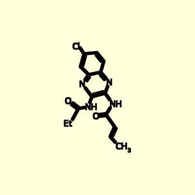 CC=CC(=O)Nc1nc2ccc(Cl)cc2nc1NC(=O)CC